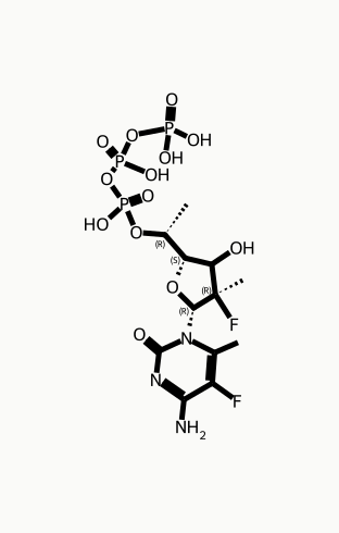 Cc1c(F)c(N)nc(=O)n1[C@@H]1O[C@H]([C@@H](C)OP(=O)(O)OP(=O)(O)OP(=O)(O)O)C(O)[C@@]1(C)F